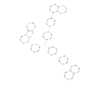 c1cc(-c2cccc3c2oc2ccccc23)cc(C(c2ccc(-c3ccc(-c4cccc5ccccc45)cc3)cc2)c2ccc(-c3ccc(-c4cccc5ccccc45)cc3)cc2)c1